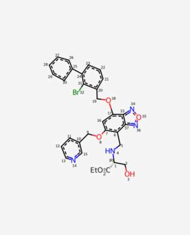 CCOC(=O)[C@@H](CO)NCc1c(OCc2cccnc2)cc(OCc2cccc(-c3ccccc3)c2Br)c2nonc12